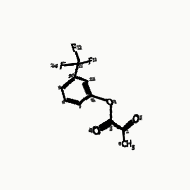 CC(=O)C(=O)Oc1cccc(C(F)(F)F)c1